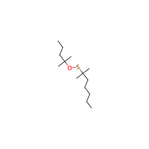 CCCCCC(C)(C)SOC(C)(C)CCC